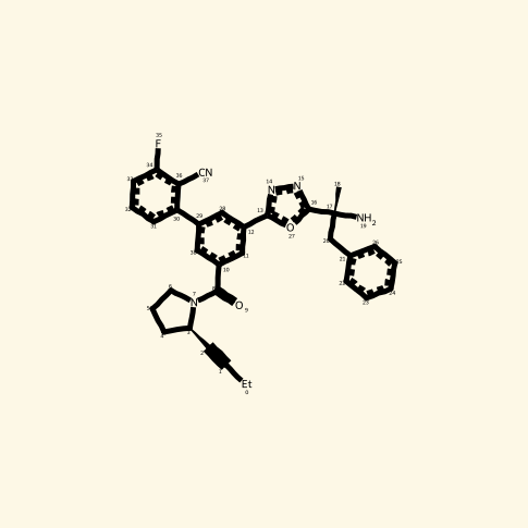 CCC#C[C@H]1CCCN1C(=O)c1cc(-c2nnc([C@](C)(N)Cc3ccccc3)o2)cc(-c2cccc(F)c2C#N)c1